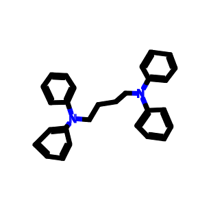 c1ccc(N(CCCCN(c2ccccc2)c2ccccc2)c2ccccc2)cc1